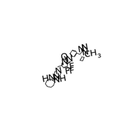 Cn1cnnc1[C@@H](c1cccc(-n2cc3c(C(F)(F)F)cc(CN4CCN5NC6(CCCCCCC6)NC5C4)cn3c2=O)c1)C1CCC1